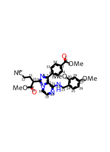 COC(=O)c1ccc(-c2nc(C(CCC#N)C(=O)OC)n3ccnc(NCc4ccc(OC)cc4OC)c23)cc1